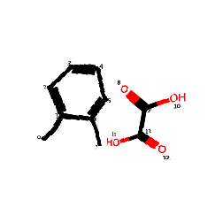 Cc1ccccc1C.O=C(O)C(=O)O